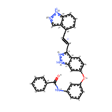 O=C(Nc1cccc(Oc2ccc3c(/C=C/c4cccc5[nH]ncc45)n[nH]c3c2)c1)c1ccccc1